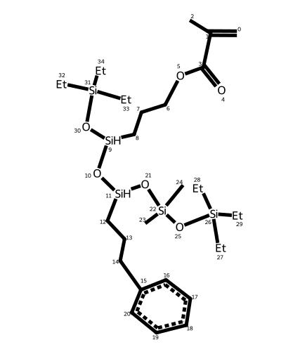 C=C(C)C(=O)OCCC[SiH](O[SiH](CCCc1ccccc1)O[Si](C)(C)O[Si](CC)(CC)CC)O[Si](CC)(CC)CC